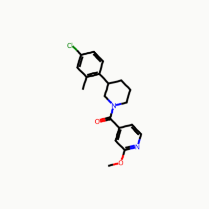 COc1cc(C(=O)N2CCCC(c3ccc(Cl)cc3C)C2)ccn1